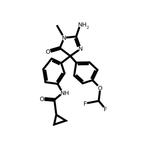 CN1C(=O)C(c2ccc(OC(F)F)cc2)(c2cccc(NC(=O)C3CC3)c2)N=C1N